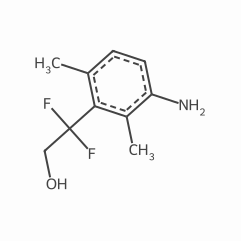 Cc1ccc(N)c(C)c1C(F)(F)CO